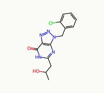 CC(O)Cc1nc2c(nnn2Cc2ccccc2Cl)c(=O)[nH]1